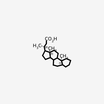 C[C@H](CC(=O)O)C1CCC2C3CCC4CCCC[C@]4(C)C3CC[C@@]21C